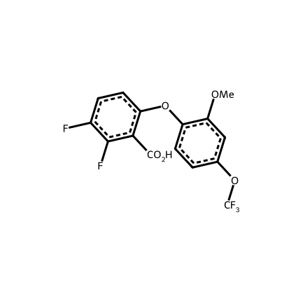 COc1cc(OC(F)(F)F)ccc1Oc1ccc(F)c(F)c1C(=O)O